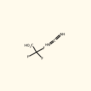 N=C=N.O=C(O)C(F)(F)F